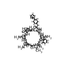 CC(C)C[C@@H]1NC(=O)[C@@H](Cc2ccccc2)NC(=O)[C@H](CCN)NC(=O)[C@@H](NC(=O)Cc2ccc(-n3cccn3)cc2)CCNC(=O)[C@H]([C@@H](C)O)NC(=O)[C@H](CCN)NC(=O)[C@H](CCN)NC1=O